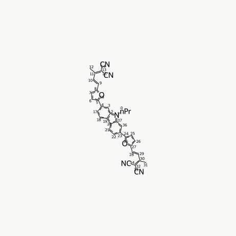 CCCn1c2cc(-c3ccc(/C=C/C(C)=C(C#N)C#N)o3)ccc2c2ccc(-c3ccc(/C=C/C(C)=C(C#N)C#N)o3)cc21